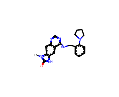 CCn1c(=O)[nH]c2cc3c(NCc4ccccc4N4CCCC4)ncnc3cc21